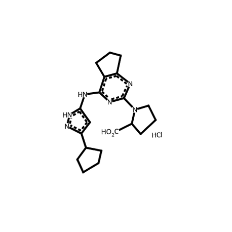 Cl.O=C(O)C1CCCN1c1nc2c(c(Nc3cc(C4CCCC4)n[nH]3)n1)CCC2